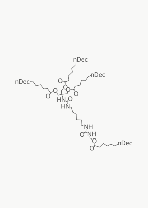 CCCCCCCCCCCCCCCC(=O)OCNC(=O)NCCCCCCNC(=O)NC(COC(=O)CCCCCCCCCCCCCCC)(COC(=O)CCCCCCCCCCCCCCC)COC(=O)CCCCCCCCCCCCCCC